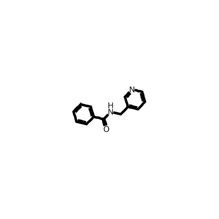 O=C(NCc1cccnc1)c1c[c]ccc1